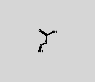 N=NOC(=O)O